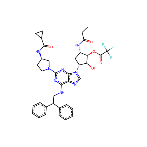 CCC(=O)N[C@H]1C[C@@H](n2cnc3c(NCC(c4ccccc4)c4ccccc4)nc(N4CC[C@@H](NC(=O)C5CC5)C4)nc32)[C@H](O)[C@@H]1OC(=O)C(F)(F)F